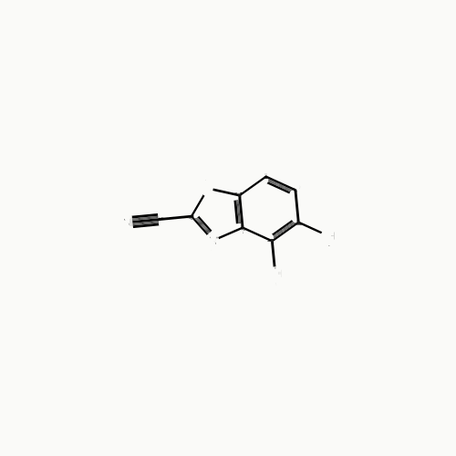 N#Cc1nc2c(O)c(O)ccc2s1